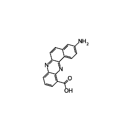 Nc1ccc2c(ccc3nc4cccc(C(=O)O)c4nc32)c1